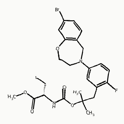 COC(=O)[C@H](CI)NC(=O)OC(C)(C)Cc1cc(N2CCOc3cc(Br)ccc3C2)ccc1F